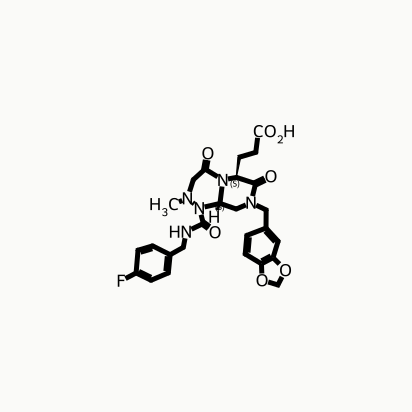 CN1CC(=O)N2[C@@H](CCC(=O)O)C(=O)N(Cc3ccc4c(c3)OCO4)C[C@@H]2N1C(=O)NCc1ccc(F)cc1